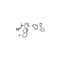 CN(C#N)C(=O)[C@H](Cc1c(F)cccc1F)NC(=O)c1ccc(-c2ccccc2Cl)nc1